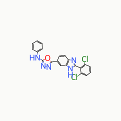 Clc1cccc(Cl)c1-c1nc2ccc(-c3nnc(Nc4ccccc4)o3)cc2[nH]1